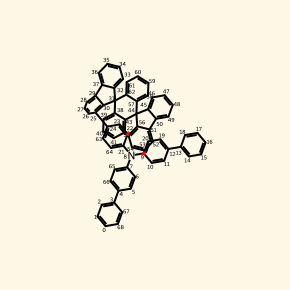 c1ccc(-c2ccc(N(c3ccc(-c4ccccc4)cc3)c3ccc(-c4cccc5c4C4(c6ccccc6-5)c5ccccc5C5(c6ccccc6-c6ccccc65)c5ccccc54)cc3)cc2)cc1